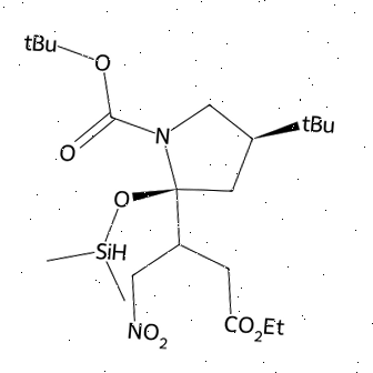 CCOC(=O)CC(C[N+](=O)[O-])[C@@]1(O[SiH](C)C)C[C@H](C(C)(C)C)CN1C(=O)OC(C)(C)C